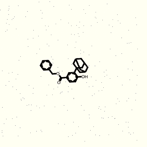 O=C(OCc1ccccc1)c1ccc(O)c(C23CC4CC(CC(C4)C2)C3)c1